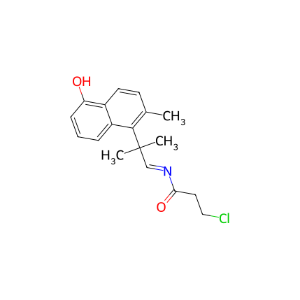 Cc1ccc2c(O)cccc2c1C(C)(C)/C=N/C(=O)CCCl